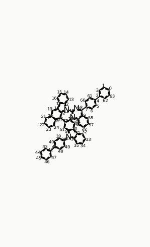 c1ccc(-c2ccc(-c3nc(-n4c5ccccc5c5cc6ccccc6c(-c6ccc7c8ccccc8n(-c8ccc(-c9ccccc9)cc8)c7c6)c54)nc4ccccc34)cc2)cc1